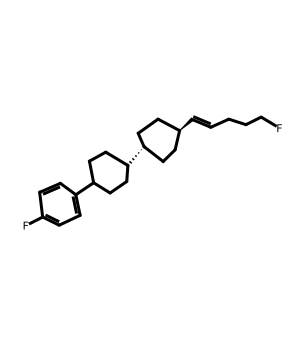 FCCC/C=C/[C@H]1CC[C@H](C2CCC(c3ccc(F)cc3)CC2)CC1